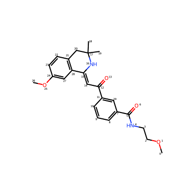 COCCNC(=O)c1cccc(C(=O)/C=C2\NC(C)(C)Cc3ccc(OC)cc32)c1